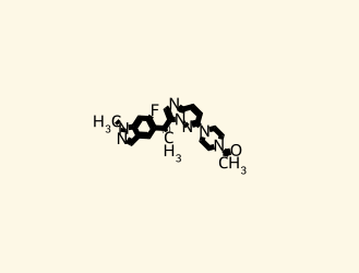 CC(=O)N1CCN(c2ccc3ncc([C@@H](C)c4cc5cnn(C)c5cc4F)n3n2)CC1